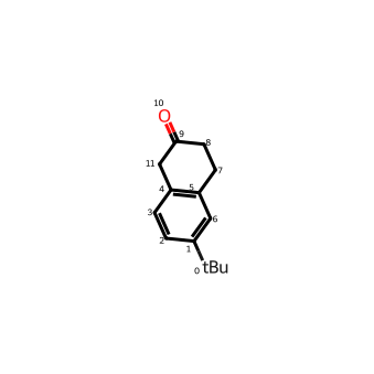 CC(C)(C)c1ccc2c(c1)CCC(=O)C2